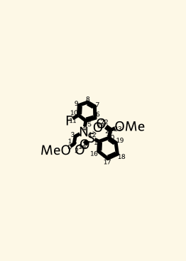 COC(=O)CN(c1ccccc1F)S(=O)(=O)c1ccccc1C(=O)OC